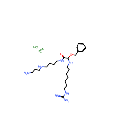 Cl.Cl.Cl.N=C(N)NCCCCCCCNC(OCc1ccccc1)C(=O)NCCCCNCCCN